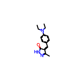 CCN(CC)c1ccc(/C=C2\C(=O)NN=C2C)cc1